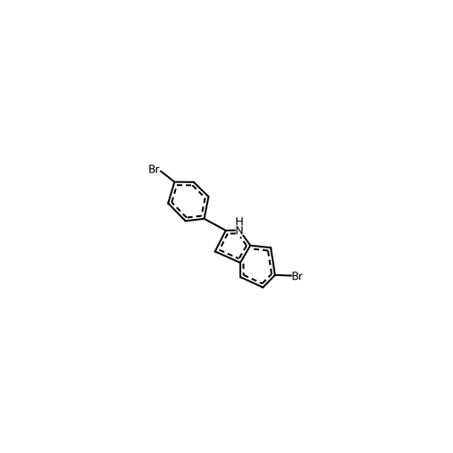 Brc1ccc(-c2cc3ccc(Br)cc3[nH]2)cc1